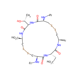 CCN[C@H]1CSSC[C@@H](C(=O)O)NC(=O)C([C@@H](C)O)NC(=O)[C@@H](NC(C)C)CSSC[C@@H](C(C)=O)NC(=O)[C@H](CC(=O)O)NC1=O